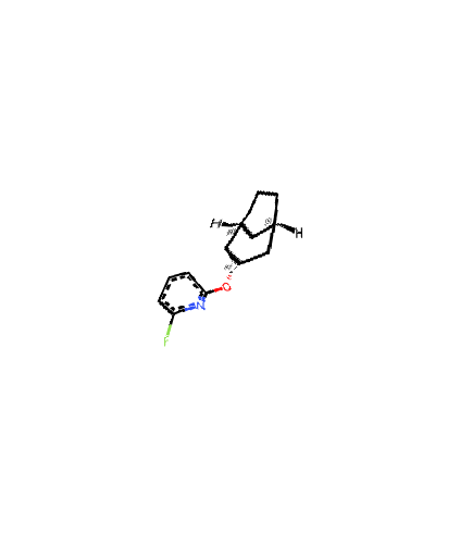 Fc1cccc(O[C@@H]2C[C@@H]3CC[C@@H](C3)C2)n1